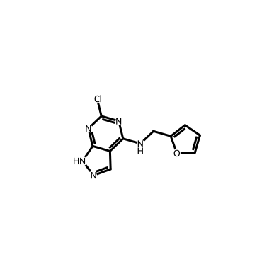 Clc1nc(NCc2ccco2)c2cn[nH]c2n1